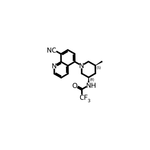 C[C@H]1C[C@@H](NC(=O)C(F)(F)F)CN(c2ccc(C#N)c3ncccc23)C1